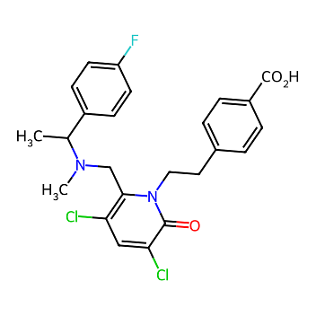 CC(c1ccc(F)cc1)N(C)Cc1c(Cl)cc(Cl)c(=O)n1CCc1ccc(C(=O)O)cc1